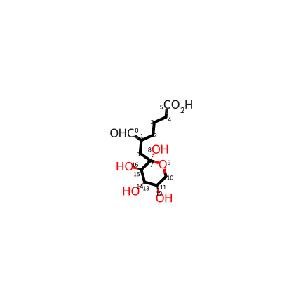 O=CC(CCCC(=O)O)C[C@@]1(O)OC[C@@H](O)[C@H](O)[C@H]1O